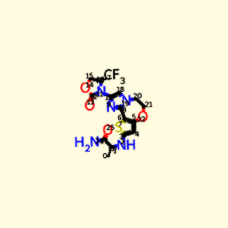 C[C@H](Nc1cc2c(s1)-c1nc(N3C(=O)OC[C@H]3C(F)(F)F)cn1CCO2)C(N)=O